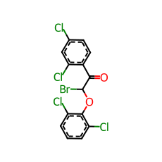 O=C(c1ccc(Cl)cc1Cl)C(Br)Oc1c(Cl)cccc1Cl